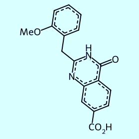 COc1ccccc1Cc1nc2cc(C(=O)O)ccc2c(=O)[nH]1